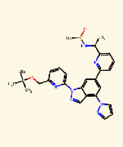 C[C@H](N[S@+]([O-])C(C)(C)C)c1cccc(-c2cc(-n3cccn3)c3cnn(-c4cccc(CO[Si](C)(C)C(C)(C)C)n4)c3c2)n1